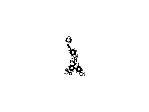 CCS(=O)(=O)c1ccc(C(Oc2ccc(C#N)cc2)C(=O)Nc2nc3ccc(OCCN4CCOCC4)cc3s2)cc1